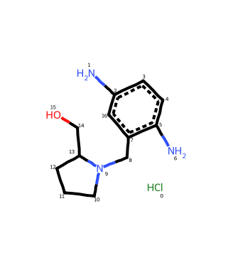 Cl.Nc1ccc(N)c(CN2CCCC2CO)c1